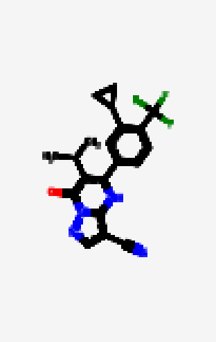 CC(C)c1c(-c2ccc(C(F)(F)F)c(C3CC3)c2)[nH]c2c(C#N)cnn2c1=O